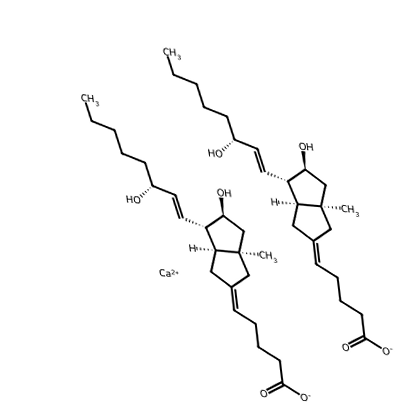 CCCCC[C@@H](O)/C=C/[C@@H]1[C@@H](O)C[C@@]2(C)C/C(=C\CCCC(=O)[O-])C[C@@H]12.CCCCC[C@@H](O)/C=C/[C@@H]1[C@@H](O)C[C@@]2(C)C/C(=C\CCCC(=O)[O-])C[C@@H]12.[Ca+2]